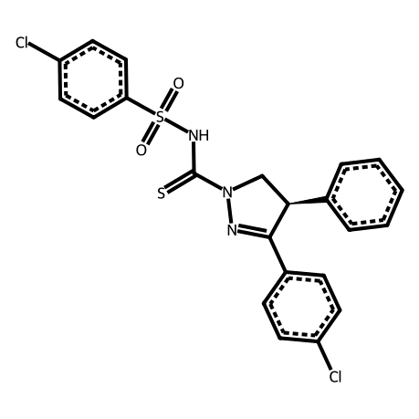 O=S(=O)(NC(=S)N1C[C@@H](c2ccccc2)C(c2ccc(Cl)cc2)=N1)c1ccc(Cl)cc1